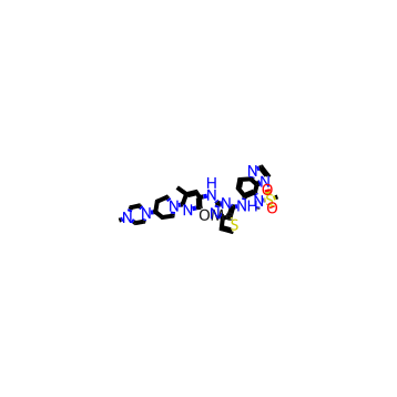 COc1nc(N2CCC(N3CCN(C)CC3)CC2)c(C)cc1Nc1nc(Nc2ccc3nccnc3c2N(C)S(C)(=O)=O)c2sccc2n1